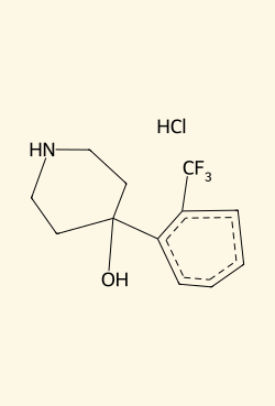 Cl.OC1(c2ccccc2C(F)(F)F)CCNCC1